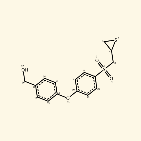 O=S(=O)(CC1CS1)c1ccc(Oc2ccc(CO)cc2)cc1